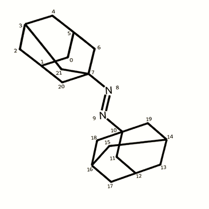 C1C2CC3CC1CC(N=NC14CC5CC(CC(C5)C1)C4)(C2)C3